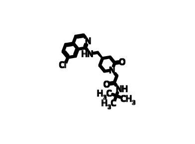 CC(C)(C)NC(=O)CN1CC[C@@H](CNc2nccc3ccc(Cl)cc23)CC1=O